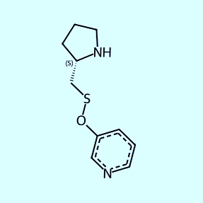 c1cncc(OSC[C@@H]2CCCN2)c1